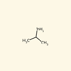 C[CH](C)[InH2]